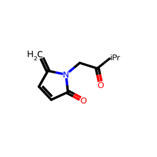 C=C1C=CC(=O)N1CC(=O)C(C)C